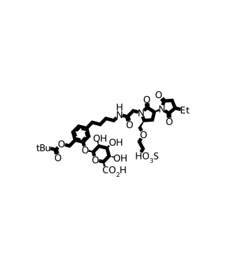 CCC1CC(=O)N([C@H]2C[C@@H](COCCS(=O)(=O)O)N(CC(=O)NCCCCc3ccc(COC(=O)C(C)(C)C)c(O[C@@H]4O[C@H](C(=O)O)[C@@H](O)[C@H](O)[C@H]4O)c3)C2=O)C1=O